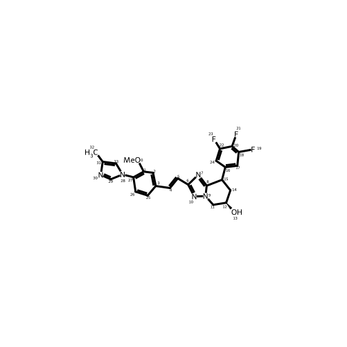 COc1cc(/C=C/c2nc3n(n2)C[C@H](O)CC3c2cc(F)c(F)c(F)c2)ccc1-n1cnc(C)c1